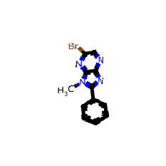 Cn1c(-c2ccccc2)nc2ncc(Br)nc21